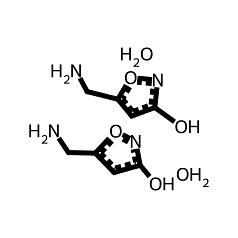 NCc1cc(O)no1.NCc1cc(O)no1.O.O